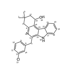 CC1(C)Cc2nc(Cc3cccc(Cl)c3)c3[nH]c4ccccc4c3c2C(O)C1